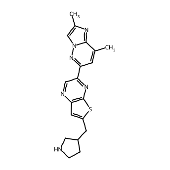 Cc1cn2nc(-c3cnc4cc(CC5CCNC5)sc4n3)cc(C)c2n1